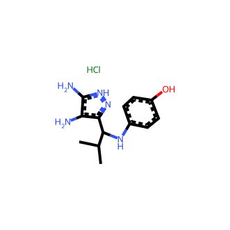 CC(C)C(Nc1ccc(O)cc1)c1n[nH]c(N)c1N.Cl